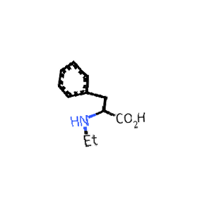 CCNC(Cc1ccccc1)C(=O)O